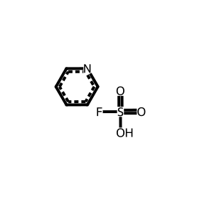 O=S(=O)(O)F.c1ccncc1